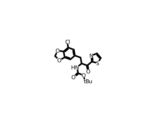 CC(C)(C)OC(=O)NC(Cc1cc(Cl)c2c(c1)OCO2)C(=O)c1nccs1